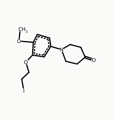 COc1ccc(N2CCC(=O)CC2)cc1OCCI